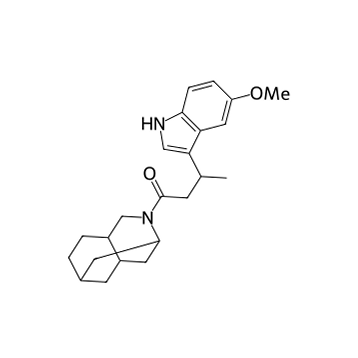 COc1ccc2[nH]cc(C(C)CC(=O)N3CC4CCC5CC4CC3C5)c2c1